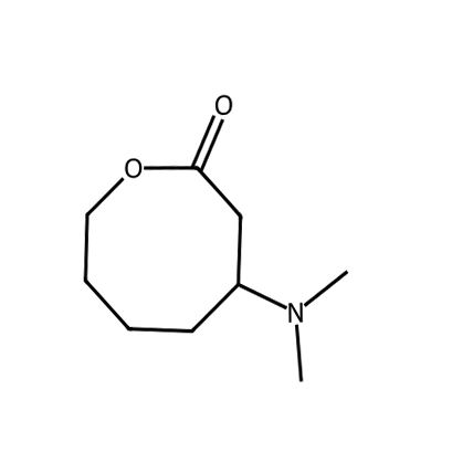 CN(C)C1CCCCOC(=O)C1